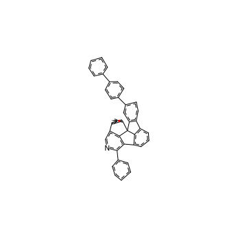 c1ccc(-c2ccc(-c3ccc4c(c3)C35c6ccccc6-c6cnc(-c7ccccc7)c(c63)-c3cccc-4c35)cc2)cc1